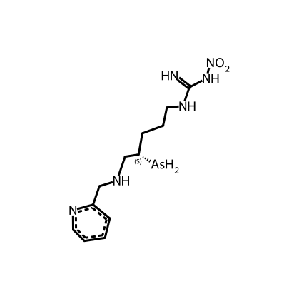 N=C(NCCC[C@H]([AsH2])CNCc1ccccn1)N[N+](=O)[O-]